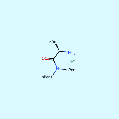 CCCCCN(CCCCC)C(=O)[C@H](N)CCCC.Cl